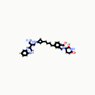 NC/C(=C\NC1CC(CCCCc2ccc3c(c2)CN(C2CCC(=O)NC2=O)C3=O)C1)C1=Nc2ccccc2NC1